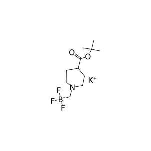 CC(C)(C)OC(=O)C1CCN(C[B-](F)(F)F)CC1.[K+]